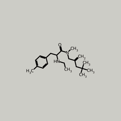 C=C(CN(C)C(=O)C(Cc1ccc(C)cc1)NCC)CC(C)(C)C